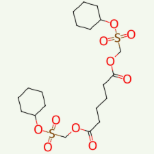 O=C(CCCCC(=O)OCS(=O)(=O)OC1CCCCC1)OCS(=O)(=O)OC1CCCCC1